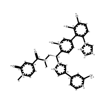 CN(C[C@H](c1ccc(-c2c(-n3cnnn3)ccc(Cl)c2F)c[n+]1[O-])n1cc(-c2ccnc(C(F)(F)F)c2)cn1)C(=O)c1ccn(C)c(=O)c1